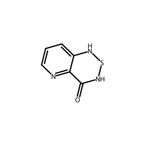 O=C1NSNc2cccnc21